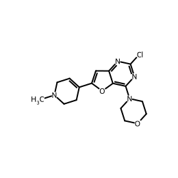 CN1CC=C(c2cc3nc(Cl)nc(N4CCOCC4)c3o2)CC1